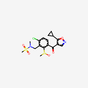 CN(Cc1c(Cl)ccc(C(=O)c2cnoc2C2CC2)c1[S+](C)[O-])S(C)(=O)=O